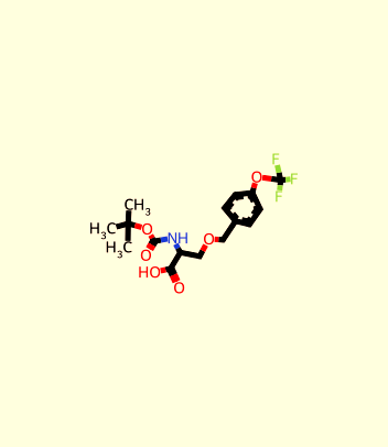 CC(C)(C)OC(=O)NC(COCc1ccc(OC(F)(F)F)cc1)C(=O)O